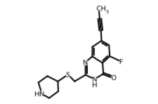 CC#Cc1cc(F)c2c(=O)[nH]c(CSC3CCNCC3)nc2c1